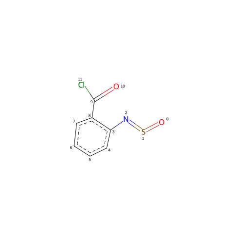 O=S=Nc1ccccc1C(=O)Cl